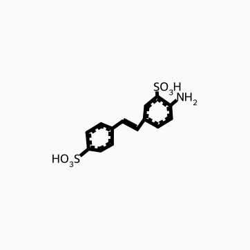 Nc1ccc(/C=C/c2ccc(S(=O)(=O)O)cc2)cc1S(=O)(=O)O